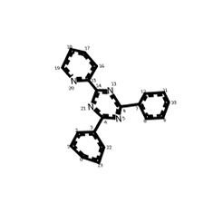 c1ccc(-c2nc(-c3ccccc3)nc(-c3ccccn3)n2)cc1